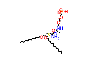 CCCCCCCCCCCCOC[C@H](CSC[C@H](N)C(=O)N[C@@H](C)CNCCOCCOCCP(=O)(O)O)OCCCCCCCCCCCC